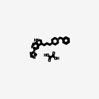 O=C(O)C(=O)O.c1ccc(CN2CCN(CCCC3CNc4cnc(-n5cncn5)cc43)CC2)cc1